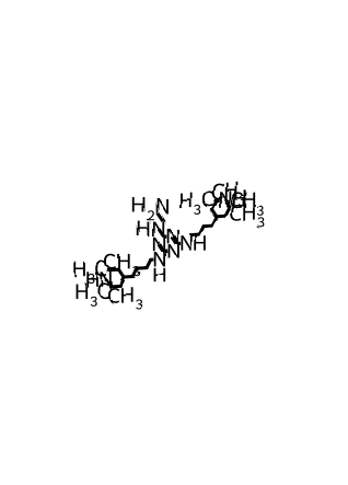 CC1(C)CC(CCCCNc2nc(NCCN)nc(NCCCCC3CC(C)(C)NC(C)(C)C3)n2)CC(C)(C)N1